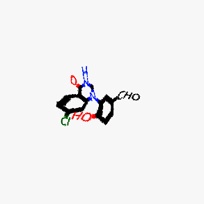 O=Cc1ccc(O)c(N2CNC(=O)c3ccc(Cl)cc32)c1